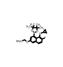 COCOc1cc(B2OC(C)(C)C(C)(C)O2)c2c(OC3CC3)c(F)ccc2c1